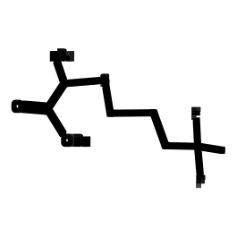 CCCCC(SCCCC(C)(F)F)C(=O)OCC(C)C